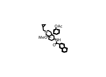 CO[C@]12CC[C@H](NC(=O)c3ccc4ccccc4c3)C[C@]1(c1cccc(OC(C)=O)c1)CCN(CC1CC1)C2